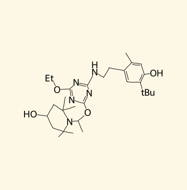 CCOc1nc(NCCc2cc(C(C)(C)C)c(O)cc2C)nc(OC(C)N2C(C)(C)CC(O)CC2(C)C)n1